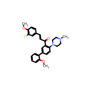 COc1ccc(C=CC(=O)c2cc(-c3ccccc3OC)ccc2N2CCN(C)CC2)cc1F